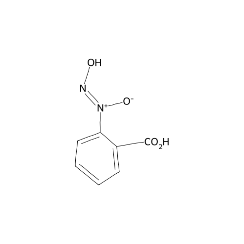 O=C(O)c1ccccc1[N+]([O-])=NO